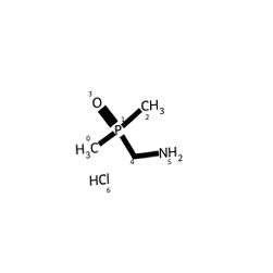 CP(C)(=O)CN.Cl